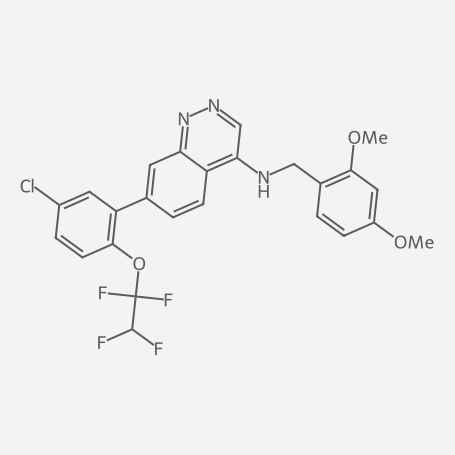 COc1ccc(CNc2cnnc3cc(-c4cc(Cl)ccc4OC(F)(F)C(F)F)ccc23)c(OC)c1